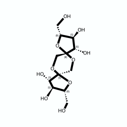 OC[C@H]1O[C@@]2(CO[C@]3(CO2)O[C@H](CO)[C@@H](O)[C@@H]3O)[C@@H](O)[C@@H]1O